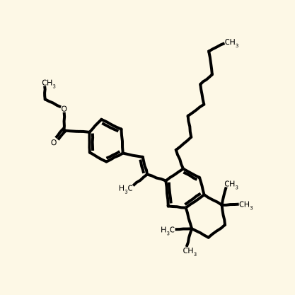 CCCCCCCCc1cc2c(cc1C(C)=Cc1ccc(C(=O)OCC)cc1)C(C)(C)CCC2(C)C